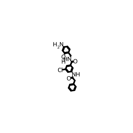 Nc1ccc(CNC(=O)c2cc(Cl)cc(NC(=O)Cc3ccccc3)c2)c(O)c1